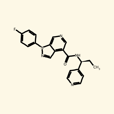 CC[C@H](NC(=O)c1cncc2c1cnn2-c1ccc(F)cc1)c1ccncc1